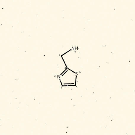 [NH]Cc1nccs1